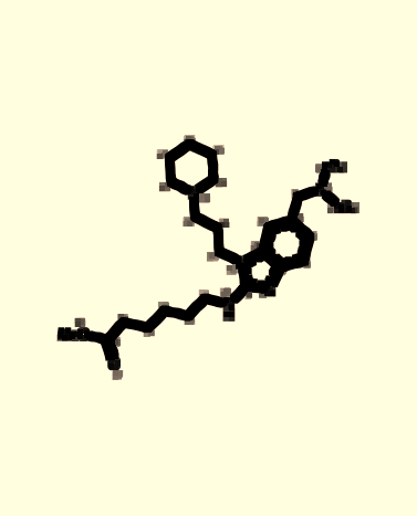 CCCCN(CCCC)Cc1ccc2nc(NCCCCCC(=O)OC)n(CCCN3CCCCC3)c2c1